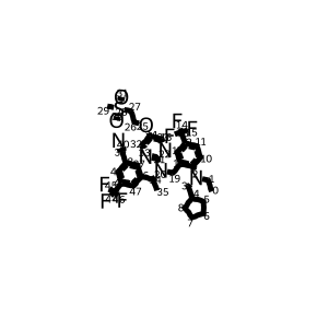 CCN(CC1CCCC1)c1ccc(C(F)(F)F)cc1CN(c1ncc(OCCS(C)(=O)=O)cn1)C(C)c1cc(C#N)cc(C(F)(F)F)c1